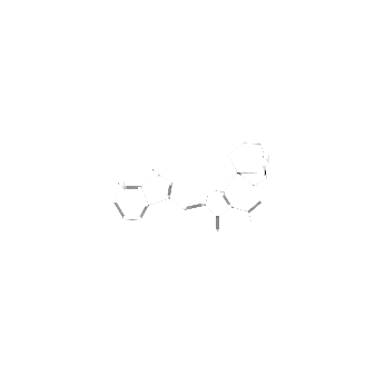 O=C(O)C1=C(C23CCCN(CC2)O3)O/C(=C\c2c[nH]c3ncccc23)C1=O